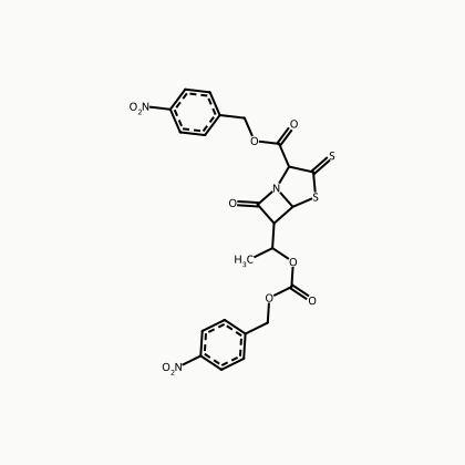 CC(OC(=O)OCc1ccc([N+](=O)[O-])cc1)C1C(=O)N2C(C(=O)OCc3ccc([N+](=O)[O-])cc3)C(=S)SC12